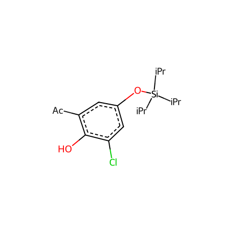 CC(=O)c1cc(O[Si](C(C)C)(C(C)C)C(C)C)cc(Cl)c1O